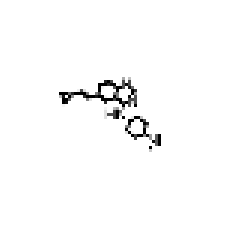 CN[C@H]1CC[C@H](Nc2ncnc3ccc(/C=C/C4CC4)cc23)CC1